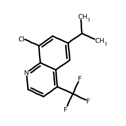 CC(C)c1cc(Cl)c2nccc(C(F)(F)F)c2c1